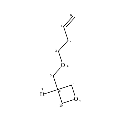 C=CCCOCC1(CC)COC1